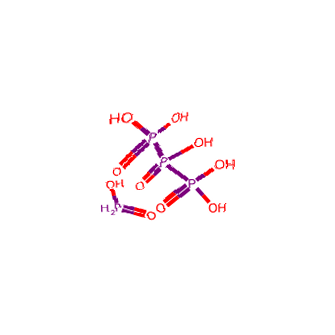 O=P(O)(O)P(=O)(O)P(=O)(O)O.O=[PH2]O